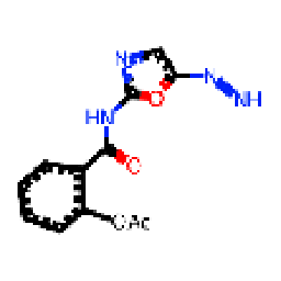 CC(=O)Oc1ccccc1C(=O)Nc1ncc(N=N)o1